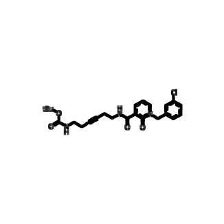 CC(C)(C)OC(=O)NCCC#CCCNC(=O)c1cccn(Cc2cccc(Cl)c2)c1=O